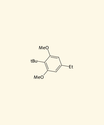 CCc1cc(OC)c(C(C)(C)C)c(OC)c1